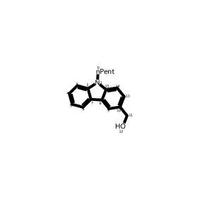 CCCCCn1c2ccccc2c2cc(CO)ccc21